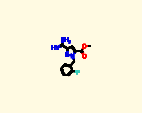 COC(=O)c1cc(C(=N)N)nn1Cc1ccccc1F